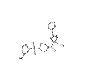 Cc1nn(-c2ccccc2)nc1C(=O)N1CCC(S(=O)(=O)c2cccc(O)c2)CC1